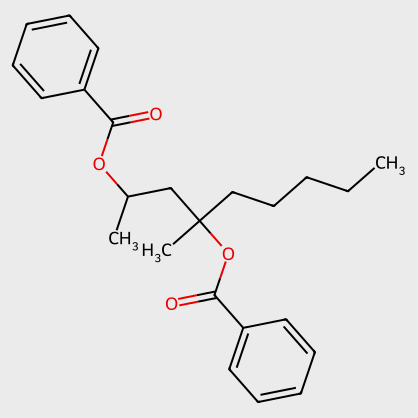 CCCCCC(C)(CC(C)OC(=O)c1ccccc1)OC(=O)c1ccccc1